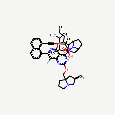 C=C1CN2CCCC2(COc2nc3c4c(nc(-c5cccc6cccc(C#C[Si](C(C)C)(C(C)C)C(C)C)c56)c(F)c4n2)OC(CCC)C2C4CCC(CN32)N4C(=O)O)C1